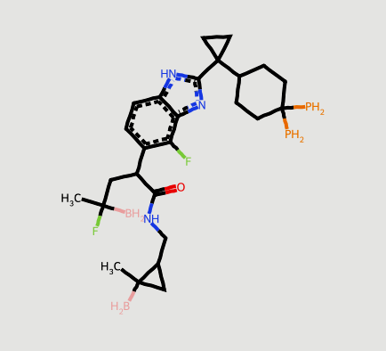 BC(C)(F)CC(C(=O)NCC1CC1(B)C)c1ccc2[nH]c(C3(C4CCC(P)(P)CC4)CC3)nc2c1F